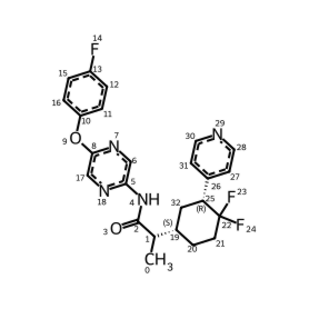 CC(C(=O)Nc1cnc(Oc2ccc(F)cc2)cn1)[C@H]1CCC(F)(F)[C@@H](c2ccncc2)C1